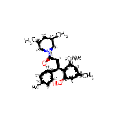 COc1cc(C)cc(O)c1C(CC(=O)N1CC(C)CC(C)C1)c1ccc(C(C)=O)cc1